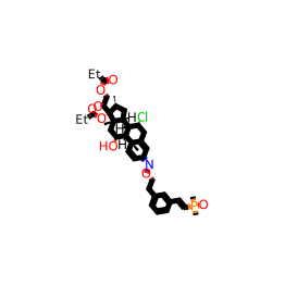 CCC(=O)OCC(=O)[C@@]1(OC(=O)CC)[C@H](C)C[C@H]2[C@H]3[C@H]([C@@H](O)C[C@@]21C)[C@@]1(C)C=C/C(=N\OCCc2cccc(/C=C/P(C)(C)=O)c2)C=C1C[C@H]3Cl